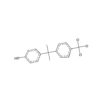 CC(C)(c1ccc(O)cc1)c1ccc(C(Cl)(Cl)Cl)cc1